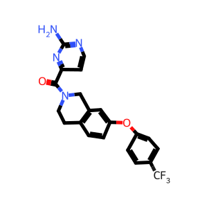 Nc1nccc(C(=O)N2CCc3ccc(Oc4ccc(C(F)(F)F)cc4)cc3C2)n1